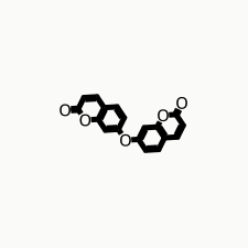 O=c1ccc2ccc(Oc3ccc4ccc(=O)oc4c3)cc2o1